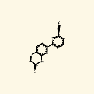 N#Cc1cccc(-c2ccc3c(c2)NC(=O)CO3)c1